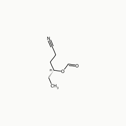 CC[C@H](CCC#N)OC=O